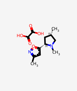 Cc1cc([C@@H]2C[C@H](C)CN2C)on1.O=C(O)C(=O)O